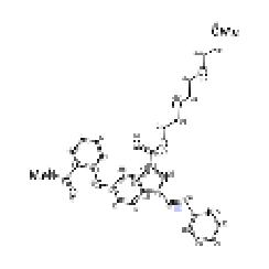 CNC(=O)c1ccccc1Sc1ccc2c(/C=C/c3ccccn3)nn(C(=O)OCCOCCOCCOC)c2c1